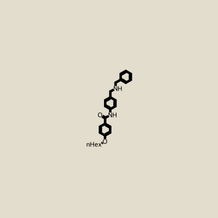 CCCCCCOc1ccc(C(=O)Nc2ccc(CNCc3ccccc3)cc2)cc1